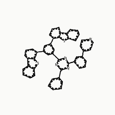 c1ccc(-c2nc(-c3cccc(-c4ccncc4)c3)nc(-c3cc(-c4cccc5c4sc4ccccc45)cc(-c4cccc5c4sc4ccccc45)c3)n2)cc1